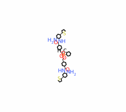 Cc1ccccc1P(=O)(OCc1ccc(C(=O)Nc2cc(-c3cccs3)ccc2N)cc1)OCc1ccc(C(=O)Nc2cc(-c3cccs3)ccc2N)cc1